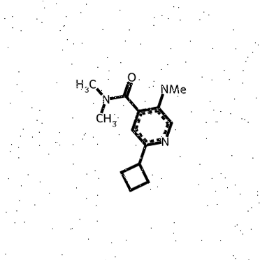 CNc1cnc(C2CCC2)cc1C(=O)N(C)C